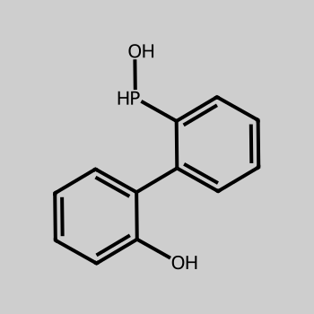 OPc1ccccc1-c1ccccc1O